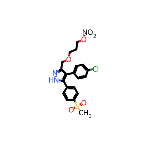 CS(=O)(=O)c1ccc(-c2[nH]nc(COCCCO[N+](=O)[O-])c2-c2ccc(Cl)cc2)cc1